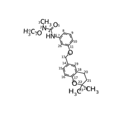 CON(C)C(=O)Nc1cccc(OCc2ccc3c(c2)CCC(C)(C)O3)c1